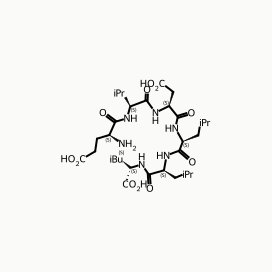 CC[C@H](C)[C@H](NC(=O)[C@H](CC(C)C)NC(=O)[C@H](CC(C)C)NC(=O)[C@H](CC(=O)O)NC(=O)[C@@H](NC(=O)[C@@H](N)CCC(=O)O)C(C)C)C(=O)O